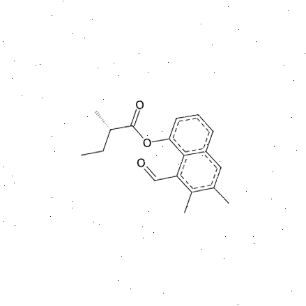 CC[C@H](C)C(=O)Oc1cccc2cc(C)c(C)c(C=O)c12